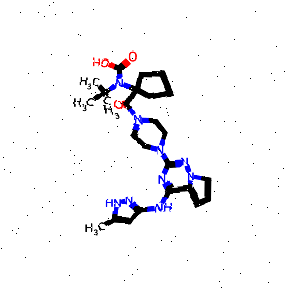 Cc1cc(Nc2nc(N3CCN(C(=O)C4(N(C(=O)O)C(C)(C)C)CCCC4)CC3)nn3cccc23)n[nH]1